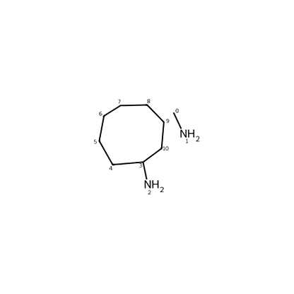 CN.NC1CCCCCCC1